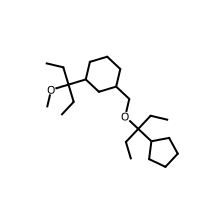 CCC(CC)(OC)C1CCCC(COC(CC)(CC)C2CCCC2)C1